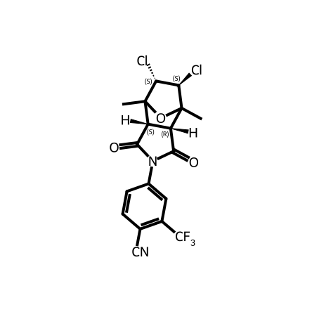 CC12OC(C)([C@H](Cl)[C@H]1Cl)[C@H]1C(=O)N(c3ccc(C#N)c(C(F)(F)F)c3)C(=O)[C@H]12